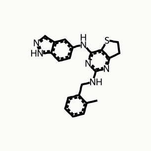 Cc1ccccc1CNc1nc2c(c(Nc3ccc4[nH]ncc4c3)n1)SCC2